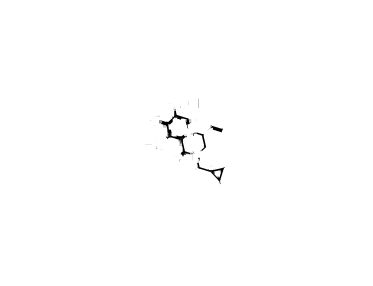 C=C[C@H]1CN(CC2CC2)C(=O)c2c(O)c(=O)c(C(=O)O)cn21